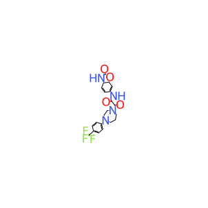 O=C1NC2C=CC(NC(=O)C(=O)N3CCCN(c4ccc(C(F)(F)F)cc4)CC3)=CC2O1